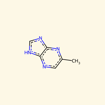 Cc1cnc2[nH]cnc2n1